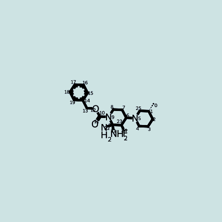 C[C@@H]1CCCN(C2CCN(C(=O)OCc3ccccc3)C(N)(N)C2F)C1